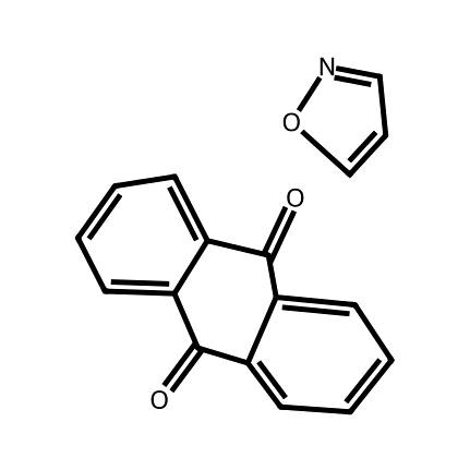 O=C1c2ccccc2C(=O)c2ccccc21.c1cnoc1